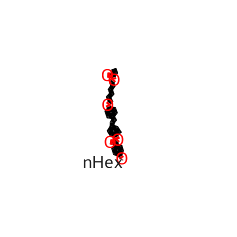 C=CC(=O)OCCCCCCOc1ccc(CCc2ccc(OC(=O)c3ccc(OCCCCCC)cc3)cc2)cc1